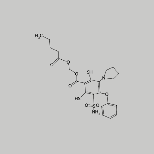 CCCCC(=O)OCOC(=O)c1c(S)c(N2CCCC2)c(Oc2ccccc2)c(S(N)(=O)=O)c1S